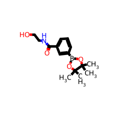 CC1(C)OB(c2cccc(C(=O)NCCO)c2)OC1(C)C